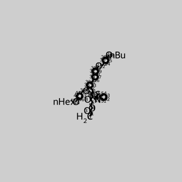 C=CC(=O)OCCC(=O)N(/N=C/c1cc(-c2ccc3cc(OCc4ccc(OCCCC)cc4)ccc3c2)ccc1OCc1ccc(OCCCCCC)cc1)c1nc2ccccc2s1